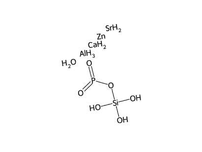 O.O=P(=O)O[Si](O)(O)O.[AlH3].[CaH2].[SrH2].[Zn]